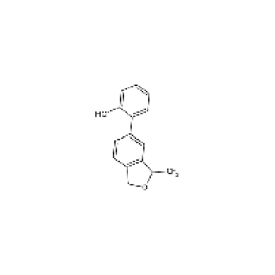 Oc1ccccc1-c1ccc2c(c1)C(C(F)(F)F)OC2